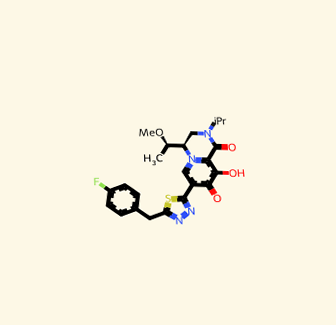 CO[C@H](C)[C@H]1CN(C(C)C)C(=O)c2c(O)c(=O)c(-c3nnc(Cc4ccc(F)cc4)s3)cn21